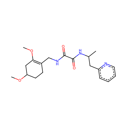 COC1=C(CNC(=O)C(=O)NC(C)Cc2ccccn2)CCC(OC)C1